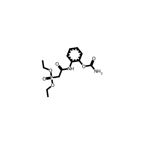 CCOP(=O)(CC(=O)Nc1ccccc1OC(N)=O)OCC